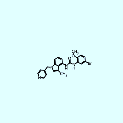 COc1ccc(Br)cc1NC(=O)Nc1cccc2c1c(C)cn2Cc1ccncc1